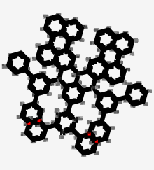 c1ccc(-c2cc(-c3ccccc3)cc(N3c4cc(-c5nc(-c6ccccc6)nc(-c6ccccc6)n5)cc5c4B(c4cc6c7cccc8cccc(c9cccc(c43)c96)c87)c3cc4c6cccc7cccc(c8cccc(c3N5c3cc(-c5ccccc5)cc(-c5ccccc5)c3)c84)c76)c2)cc1